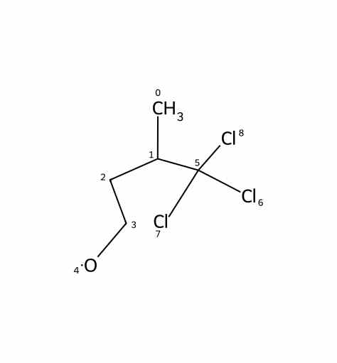 CC(CC[O])C(Cl)(Cl)Cl